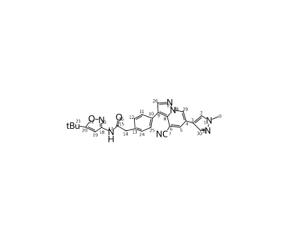 Cn1cc(-c2cc(C#N)c3c(-c4ccc(CC(=O)Nc5cc(C(C)(C)C)on5)cc4)cnn3c2)cn1